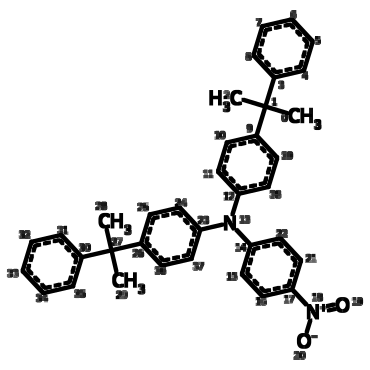 CC(C)(c1ccccc1)c1ccc(N(c2ccc([N+](=O)[O-])cc2)c2ccc(C(C)(C)c3ccccc3)cc2)cc1